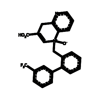 O=C(O)C1=C[N+]([O-])(Cc2ccccc2-c2cccc(C(F)(F)F)c2)c2cccnc2C1